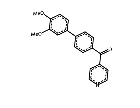 COc1ccc(-c2ccc(C(=O)c3ccncc3)cc2)cc1OC